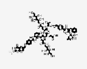 CC(=O)[C@H](CSSCc1cnc(C(=O)N[C@@H](Cc2ccccc2)C(=O)N[C@@H](CC(C)C)B(O)O)cn1)NC(=O)[C@H](CCC(=O)NC[C@H](O)[C@@H](O)[C@H](O)[C@H](O)CO)NC(=O)[C@H](CCC(=O)O)NC(=O)[C@H](CCC(=O)NC[C@H](O)[C@@H](O)[C@H](O)[C@H](O)CO)NC(=O)CC[C@H](NC(=O)c1ccc(NCc2cnc3nc(N)[nH]c(=O)c3n2)cc1)C(=O)O